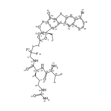 CC[C@@]1(OC(=O)CCC(F)(F)CNC(=O)[C@H](CCCNC(N)=O)NC(=O)[C@@H](N)C(C)C)C(=O)OCc2c1cc1n(c2=O)Cc2cc3c(Br)cccc3nc2-1